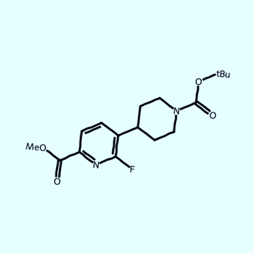 COC(=O)c1ccc(C2CCN(C(=O)OC(C)(C)C)CC2)c(F)n1